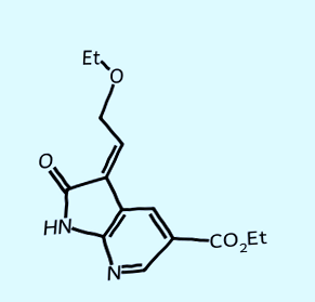 CCOCC=C1C(=O)Nc2ncc(C(=O)OCC)cc21